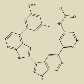 CCC(=O)Nc1cncc(-c2cc3c(-c4cc5c(-c6cc(F)cc(OC)c6)cccc5[nH]4)n[nH]c3cn2)c1